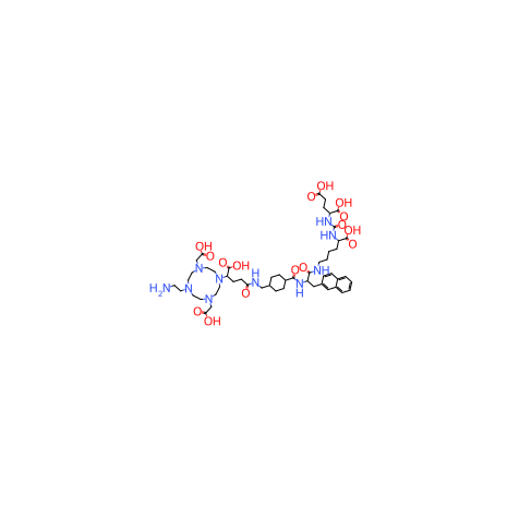 NCCN1CCN(CC(=O)O)CCN(C(CCC(=O)NCC2CCC(C(=O)NC(Cc3ccc4ccccc4c3)C(=O)NCCCCC(NC(=O)NC(CCC(=O)O)C(=O)O)C(=O)O)CC2)C(=O)O)CCN(CC(=O)O)CC1